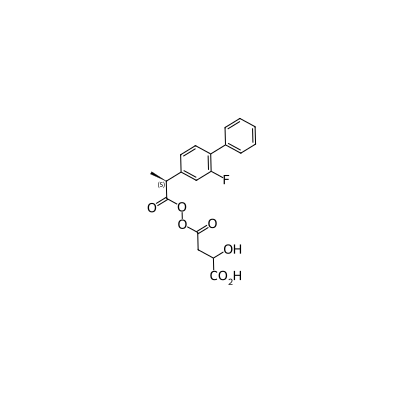 C[C@H](C(=O)OOC(=O)CC(O)C(=O)O)c1ccc(-c2ccccc2)c(F)c1